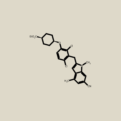 CCOC(=O)[C@H]1CC[C@@H](Oc2ccc(Cl)c(Cc3cc4c(C)cc(C#N)cc4n3C)c2Cl)CC1